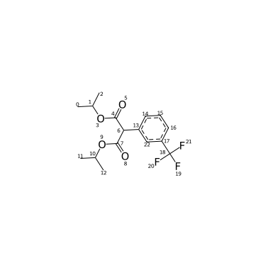 CC(C)OC(=O)C(C(=O)OC(C)C)c1cccc(C(F)(F)F)c1